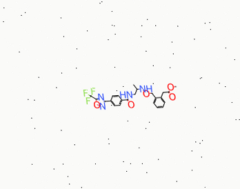 COC(=O)Cc1ccccc1CONC(C)CNC(=O)c1ccc(-c2noc(C(F)(F)F)n2)cc1